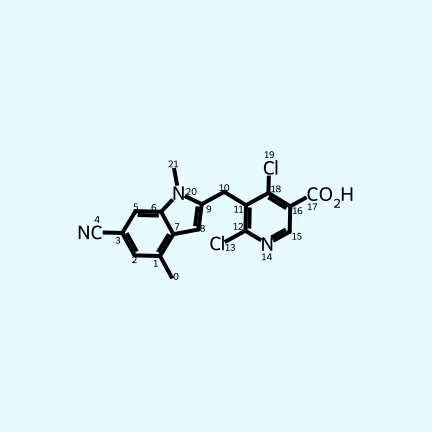 Cc1cc(C#N)cc2c1cc(Cc1c(Cl)ncc(C(=O)O)c1Cl)n2C